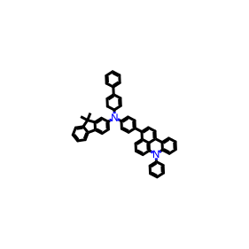 CC1(C)c2ccccc2-c2ccc(N(c3ccc(-c4ccc5c6c(cccc46)N(c4ccccc4)c4ccccc4-5)cc3)C3C=CC(c4ccccc4)=CC3)cc21